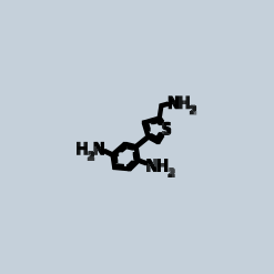 NCc1cc(-c2cc(N)ccc2N)cs1